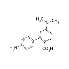 CN(C)c1ccc(C(=O)O)c(-c2ccc(N)cc2)c1